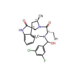 CC(C)C[C@@H](C(=O)N1C[C@]2(C[C@H]1C#N)C(=O)Nc1ccccc12)N(C)C(O)c1cc(F)cc(Cl)c1